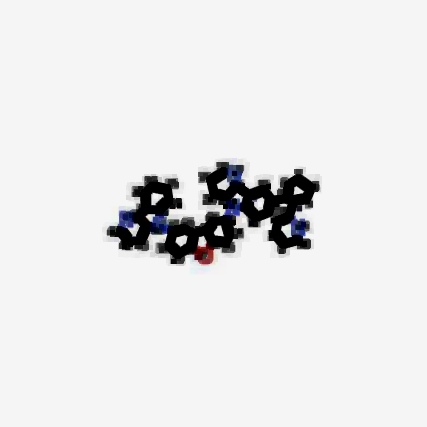 c1ccc(-c2ccccc2-c2ccc3c(c2)c2ncccc2n3-c2ccc3oc4ccc(-n5c6ccccc6c6ncccc65)cc4c3c2)nc1